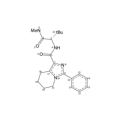 CNC(=O)[C@@H](NC(=O)c1nc(-c2ccccc2)n2c1CCCC2)C(C)(C)C